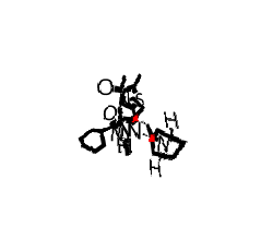 CC(=O)N1CCc2c(nc(C)n2[C@H]2C[C@H]3CC[C@@H](C2)N3CC[C@H](NC(=O)C2CCCCC2)c2ccc(C)s2)C1